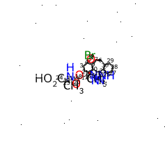 Cc1ccc2oc3c(Br)c2c1C1(NN=NN1CCOC(=O)N[C@@H](C)C(=O)O)c1ccccc1-3